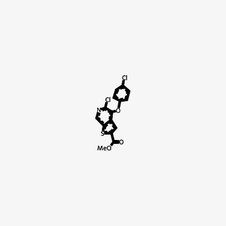 COC(=O)c1cc2c(Oc3ccc(Cl)cc3)c(Cl)ncc2s1